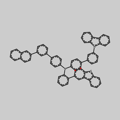 c1cc(-c2ccc(N(c3ccc(-c4cccc(-n5c6ccccc6c6ccccc65)c4)cc3)c3ccccc3-c3ccc4sc5ccccc5c4c3)cc2)cc(-c2ccc3ccccc3c2)c1